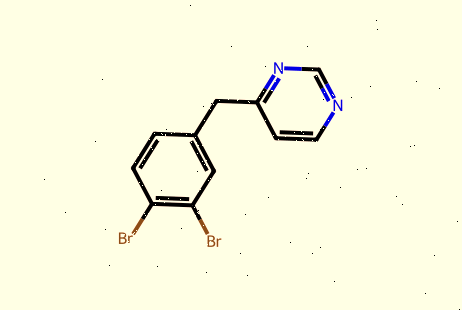 Brc1ccc(Cc2ccncn2)cc1Br